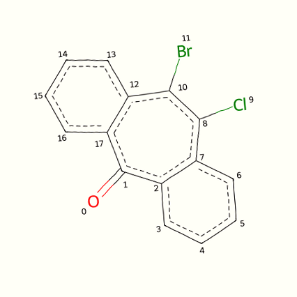 O=c1c2ccccc2c(Cl)c(Br)c2ccccc12